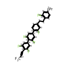 CCCc1ccc(CCc2ccc(-c3cc(F)c(-c4cc(F)c(C#CC(F)(F)F)c(F)c4)c(F)c3)c(F)c2)c(F)c1